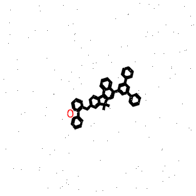 CC1(C)c2cc(Cc3cccc4oc5ccccc5c34)ccc2-c2c1cc(-c1cc(-c3ccccc3)cc(-c3ccccc3)c1)c1ccccc21